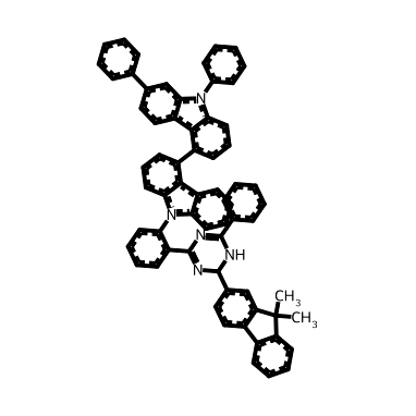 CC1(C)c2ccccc2-c2ccc(C3N=C(c4ccccc4-n4c5ccccc5c5c(-c6cccc7c6c6ccc(-c8ccccc8)cc6n7-c6ccccc6)cccc54)N=C(c4ccccc4)N3)cc21